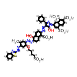 Cc1cc(N=Nc2ccc3c(S(=O)(=O)O)c(N=Nc4c(-c5ccccc5)nn(-c5cc(S(=O)(=O)O)c6ccc(S(=O)(=O)O)c(S(=O)(=O)O)c6c5)c4O)ccc3c2O)c(OCCCCS(=O)(=O)O)cc1N=Nc1nc2ccccc2s1